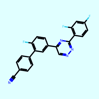 N#Cc1ccc(-c2cc(-c3cnnc(-c4ccc(F)cc4F)n3)ccc2F)cc1